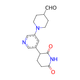 O=CC1CCN(c2cncc(C3CCC(=O)NC3=O)c2)CC1